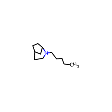 CCCCCN1CCC2CCC1C2